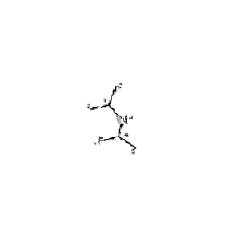 CC(C)[N]C(C)F